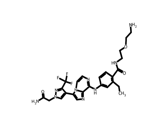 CCc1cc(Nc2nccn3c(-c4cn(CC(N)=O)nc4C(F)(F)F)cnc23)ccc1C(=O)NCCOCCN